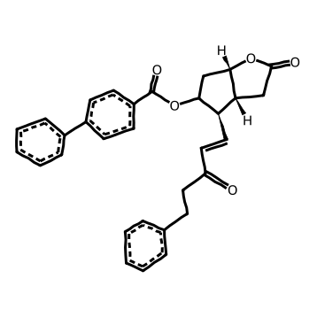 O=C(/C=C/[C@H]1C(OC(=O)c2ccc(-c3ccccc3)cc2)C[C@@H]2OC(=O)C[C@@H]21)CCc1ccccc1